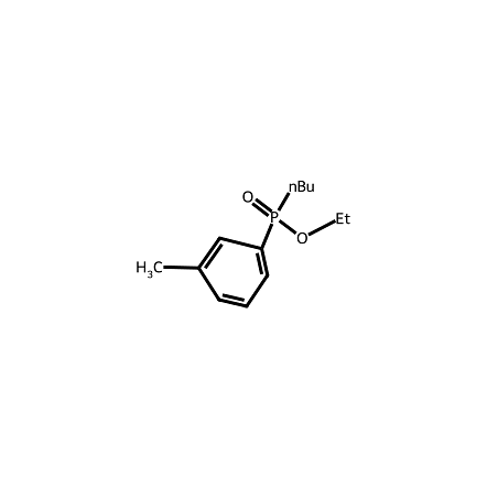 CCCCP(=O)(OCC)c1cccc(C)c1